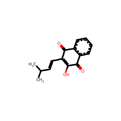 CC(C)/C=C/C1=C(O)C(=O)c2ccccc2C1=O